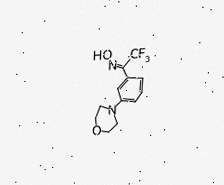 ON=C(c1cccc(N2CCOCC2)c1)C(F)(F)F